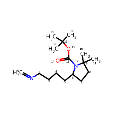 C=NCCCCC1CCC(C)(C)N1C(=O)OC(C)(C)C